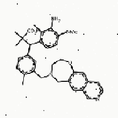 CNc1ccc(C(c2ccc(C)c(CN3CCOc4cc5ccncc5cc4C3)c2)C(C)(C)C(=O)O)c(C)c1N